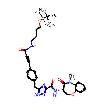 CN1C(=O)[C@@H](NC(=O)c2n[nH]c(Cc3ccc(C#CC(=O)NCCCCO[Si](C)(C)C(C)(C)C)cc3)n2)COc2ccccc21